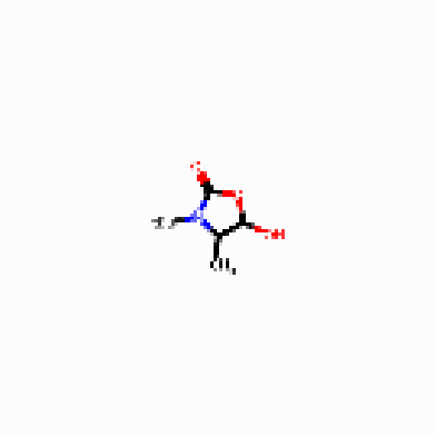 CC1C(O)OC(=O)N1C(C)(C)C